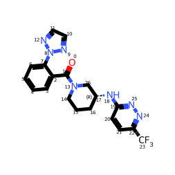 O=C(c1ccccc1-n1nccn1)N1CCC[C@@H](Nc2ccc(C(F)(F)F)nn2)C1